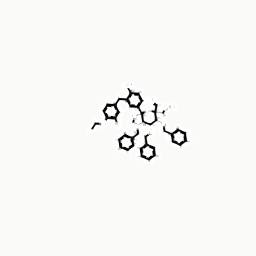 CCOc1ccc(Cc2cc([C@]3(OC)O[C@@](C=O)(CO)[C@@H](OCc4ccccc4)[C@H](OCc4ccccc4)[C@H]3OCc3ccccc3)ccc2Cl)cc1F